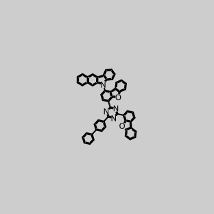 c1ccc(-c2ccc(-c3nc(-c4cccc5c4oc4ccccc45)nc(-c4ccc(-n5c6ccccc6c6cc7ccccc7cc65)c5c4oc4ccccc45)n3)cc2)cc1